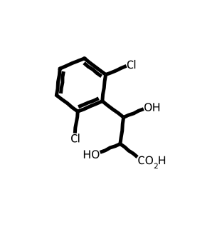 O=C(O)C(O)C(O)c1c(Cl)cccc1Cl